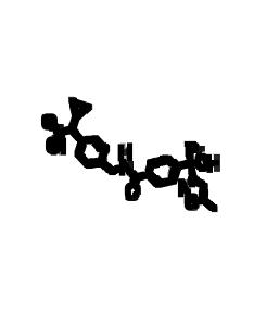 Cc1cc(C(O)(c2ccc(C(=O)NCc3ccc(C(C4CC4)[SH](=O)=O)cc3)cc2)C(C)C)no1